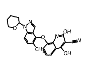 Cc1ccc2c(cnn2C2CCCCO2)c1Oc1cccc2c(O)c(C#N)c(O)nc12